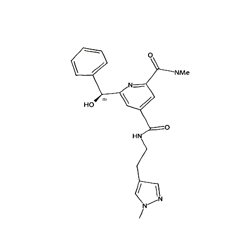 CNC(=O)c1cc(C(=O)NCCc2cnn(C)c2)cc([C@@H](O)c2ccccc2)n1